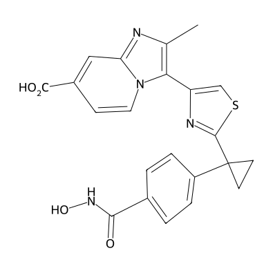 Cc1nc2cc(C(=O)O)ccn2c1-c1csc(C2(c3ccc(C(=O)NO)cc3)CC2)n1